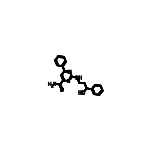 NC(=O)c1cc(-c2ccccc2)nc(NCCC(O)c2ccccc2)n1